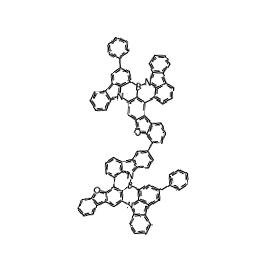 c1ccc(-c2cc3c4c(c2)c2ccccc2n4-c2cc4c(oc5ccccc54)c4c2B3n2c3ccc(-c5cccc6c5oc5cc7c8c(c56)-c5cccc6c9ccccc9n(c56)B8c5cc(-c6ccccc6)cc6c8ccccc8n-7c56)cc3c3cccc-4c32)cc1